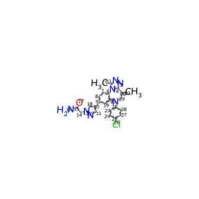 Cc1nnc2n1-c1ccc(-c3cnn(CC(N)=O)c3)cc1N(c1ccc(Cl)cc1)C[C@H]2C